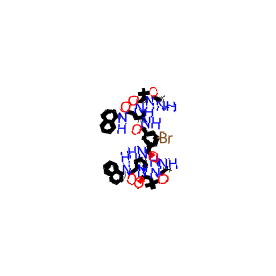 CN[C@@H](C)C(=O)NC(C(=O)N1C[C@@H](NC(=O)c2cc(Br)cc(C(=O)N[C@H]3CC(C(=O)N[C@@H]4CCCc5ccccc54)N(C(=O)[C@@H](NC(=O)[C@H](C)NC)C(C)(C)C)C3)c2)CC1C(=O)N[C@@H]1CCCc2ccccc21)C(C)(C)C